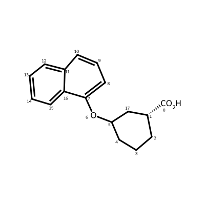 O=C(O)[C@@H]1CCCC(Oc2cccc3ccccc23)C1